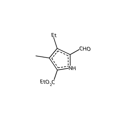 CCOC(=O)c1[nH]c(C=O)c(CC)c1C